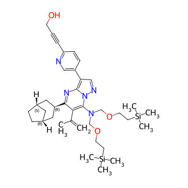 C=C(C)c1c([C@H]2C[C@@H]3CC[C@@H](C3)C2)nc2c(-c3ccc(C#CCO)nc3)cnn2c1N(COCC[Si](C)(C)C)COCC[Si](C)(C)C